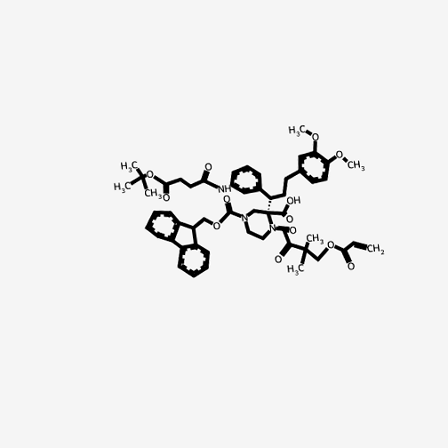 C=CC(=O)OCC(C)(C)C(=O)C(=O)N1CCN(C(=O)OCC2c3ccccc3-c3ccccc32)C[C@]1(C(=O)O)C(CCc1ccc(OC)c(OC)c1)c1cccc(NC(=O)CCC(=O)OC(C)(C)C)c1